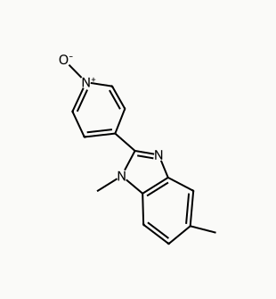 Cc1ccc2c(c1)nc(-c1cc[n+]([O-])cc1)n2C